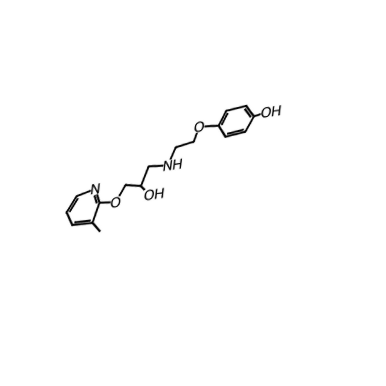 Cc1cccnc1OCC(O)CNCCOc1ccc(O)cc1